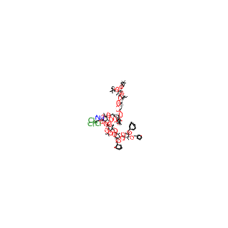 CC[C@H](C)[C@H](C[C@@H](CC(=O)O[C@H]1C(C)O[C@H](OC(=N)C(Cl)(Cl)Cl)C(O[C@@H]2OC(C)[C@H](O[C@@H]3OC[C@@H](OCc4ccccc4)C(O[C@@H]4OC[C@@H](OCc5ccccc5)C(OCc5ccccc5)C4C)C3C)C3OC(C)(C)OC32)C1C)O[Si](C)(C)C(C)(C)C)OC(=O)C[C@H](C[C@H](O[C@@H]1O[C@@H](CO[Si](C)(C)C(C)(C)C)C(O[Si](C)(C)C(C)(C)C)C1C)[C@@H](C)CC)OC